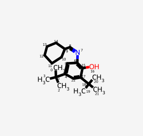 CC(C)(C)c1cc(/N=C\C2CCCCC2)c(O)c(C(C)(C)C)c1